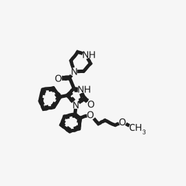 COCCCOc1ccccc1-n1c(-c2ccccc2)c(C(=O)N2CCNCC2)[nH]c1=O